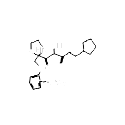 COc1ccccc1OCC1(C(=O)C(S)C(=O)CCC2CCCC2)NCCS1